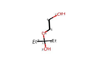 CCC(O)(CC)OCCO